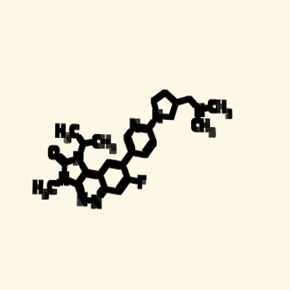 CC(C)n1c(=O)n(C)c2nnc3cc(F)c(-c4ccc(N5CCC(CN(C)C)C5)nc4)cc3c21